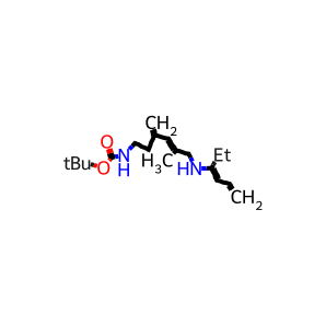 C=C/C=C(\CC)NC/C(C)=C/C(=C)CCNC(=O)OC(C)(C)C